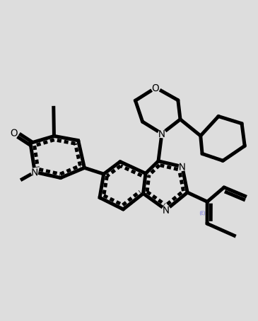 C=C/C(=C\C)c1nc(N2CCOCC2C2CCCCC2)c2cc(-c3cc(C)c(=O)n(C)c3)ccc2n1